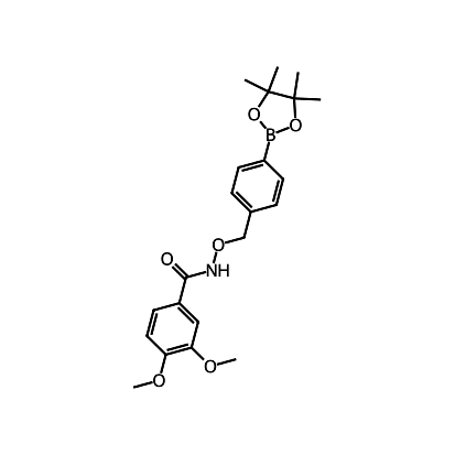 COc1ccc(C(=O)NOCc2ccc(B3OC(C)(C)C(C)(C)O3)cc2)cc1OC